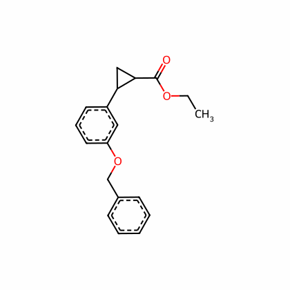 CCOC(=O)C1CC1c1cccc(OCc2ccccc2)c1